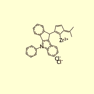 CC(C)=C1C=CC(C2c3ccccc3-c3c2c2ccccc2n3-c2ccccc2)=[C]1[Zr+2].[Cl-].[Cl-]